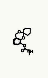 CNC(=O)Oc1cccc2c1OC1(CCCCC1)OC2